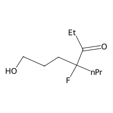 CCCC(F)(CCCO)C(=O)CC